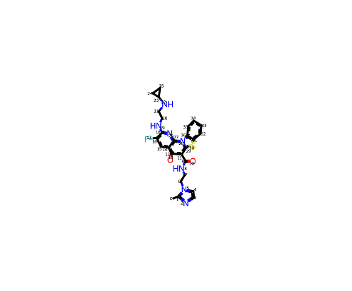 Cc1nccn1CCNC(=O)c1c(=O)c2cc(F)c(NCCNC3CC3)nc2n2c1sc1ccccc12